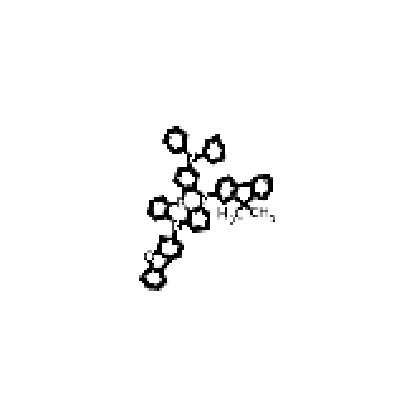 CC1(C)c2ccccc2-c2ccc(N3c4cc(N(c5ccccc5)c5ccccc5)ccc4B4c5ccccc5N(c5ccc6c(c5)oc5ccccc56)c5cccc3c54)cc21